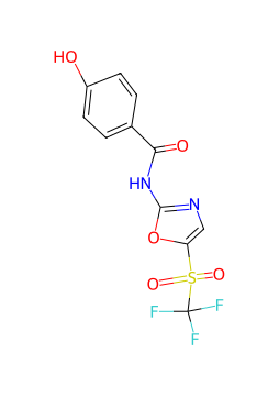 O=C(Nc1ncc(S(=O)(=O)C(F)(F)F)o1)c1ccc(O)cc1